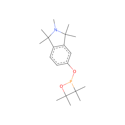 CN1C(C)(C)c2ccc(OP3OC(C)(C)C3(C)C)cc2C1(C)C